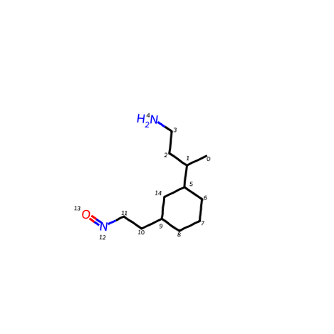 CC(CCN)C1CCCC(CCN=O)C1